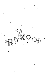 CC(C)OC(=O)[C@H](C)NP(=O)(OCC1CC(C)C(n2ccc(=O)[nH]c2=O)O1)Oc1ccc(C2=CCC(C(F)(F)F)C=C2)cc1